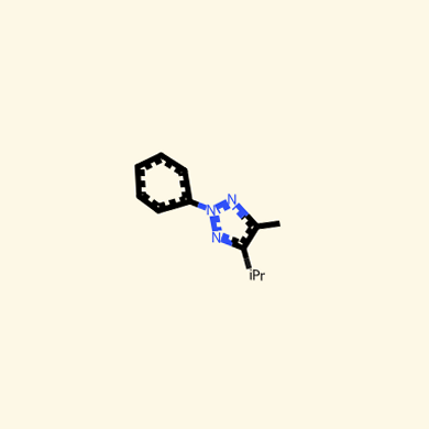 Cc1nn(-c2ccccc2)nc1C(C)C